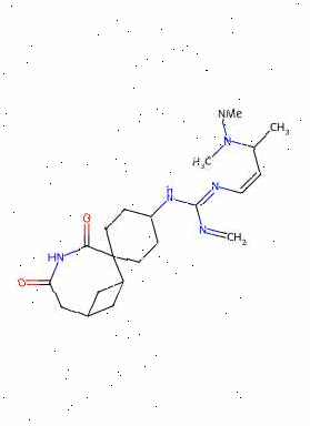 C=N/C(=N\C=C/C(C)N(C)NC)NC1CCC2(CC1)C(=O)NC(=O)CC1CC2C1